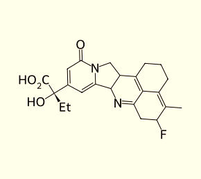 CC[C@@](O)(C(=O)O)c1cc2n(c(=O)c1)CC1C3=C4C(=NC21)CC(F)C(C)=C4CCC3